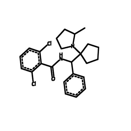 CC1CCCN1C1(C(NC(=O)c2c(Cl)cccc2Cl)c2ccccc2)CCCC1